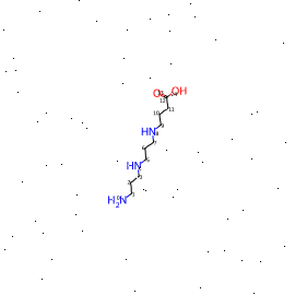 NCCCNCCCNCCCC(=O)O